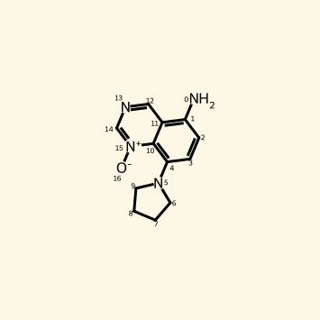 Nc1ccc(N2CCCC2)c2c1cnc[n+]2[O-]